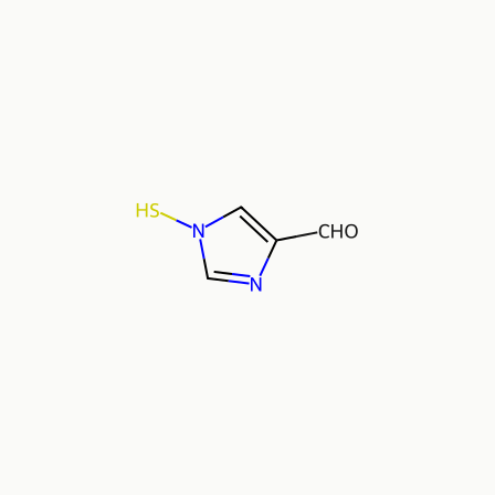 O=Cc1cn(S)cn1